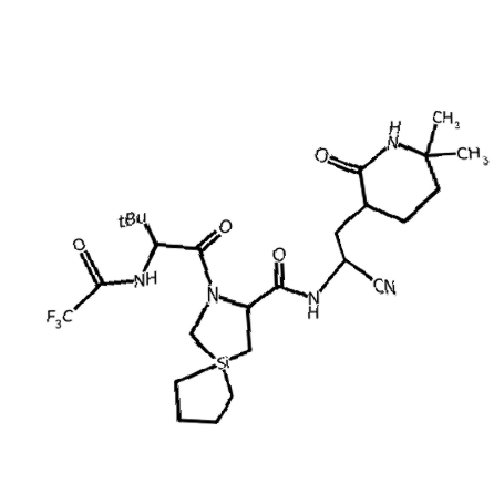 CC1(C)CCC(CC(C#N)NC(=O)C2C[Si]3(CCCC3)CN2C(=O)C(NC(=O)C(F)(F)F)C(C)(C)C)C(=O)N1